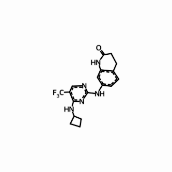 O=C1CCc2ccc(Nc3ncc(C(F)(F)F)c(NC4CCC4)n3)cc2N1